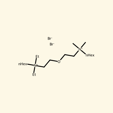 CCCCCC[N+](C)(C)CCOCC[N+](CC)(CC)CCCCCC.[Br-].[Br-]